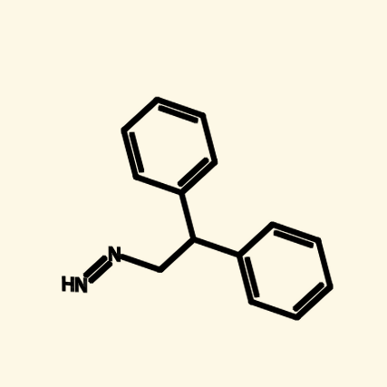 N=NCC(c1ccccc1)c1ccccc1